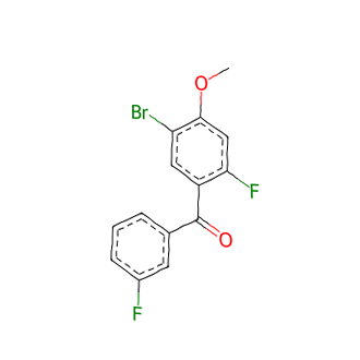 COc1cc(F)c(C(=O)c2cccc(F)c2)cc1Br